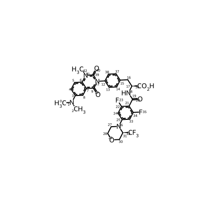 CN(C)c1ccc2c(c1)c(=O)n(-c1ccc(C[C@H](NC(=O)c3c(F)cc(N4CCOC[C@@H]4C(F)(F)F)cc3F)C(=O)O)cc1)c(=O)n2C